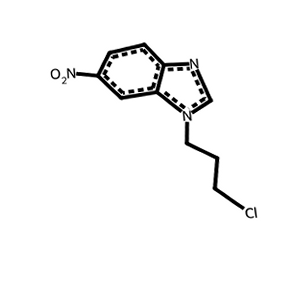 O=[N+]([O-])c1ccc2ncn(CCCCl)c2c1